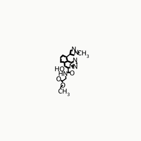 CCOC(=O)CNC(=O)c1c(O)c2cccc(-c3cnn(C)c3)c2c2ncnn12